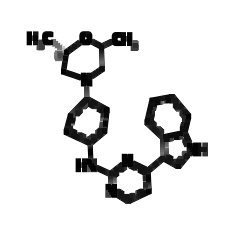 CC1CN(c2ccc(Nc3nccc(-c4c[nH]c5ccccc45)n3)cc2)C[C@H](C)O1